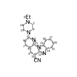 CCN1CCN(c2ccc3cc(C#N)c4nc5ccccc5n4c3n2)CC1